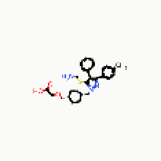 Cc1ccc(-c2nn(C[C@H]3CC[C@@H](COCC(=O)O)CC3)c(SCN)c2-c2ccccc2)cc1